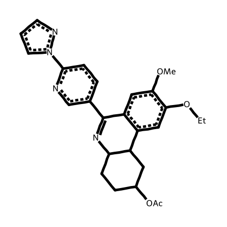 CCOc1cc2c(cc1OC)C(c1ccc(-n3cccn3)nc1)=NC1CCC(OC(C)=O)CC21